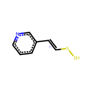 SS/C=C/c1cccnc1